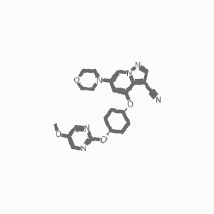 COc1cnc(O[C@H]2CC[C@@H](Oc3cc(N4CCOCC4)cn4ncc(C#N)c34)CC2)nc1